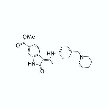 COC(=O)c1ccc2c(c1)NC(=O)C2=C(C)Nc1ccc(CN2CCCCC2)cc1